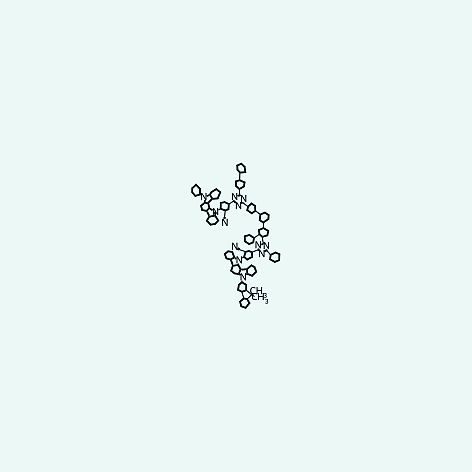 CC1(C)c2ccccc2-c2ccc(-n3c4ccccc4c4c3ccc3c5ccccc5n(-c5ccc(-c6nc(-c7ccccc7)nc(-c7ccc(-c8cccc(-c9ccc(-c%10nc(-c%11ccc(-c%12ccccc%12)cc%11)nc(-c%11ccc(-n%12c%13ccccc%13c%13ccc%14c(c%15ccccc%15n%14-c%14ccccc%14)c%13%12)c(C#N)c%11)n%10)cc9)c8)cc7-c7ccccc7)n6)cc5C#N)c34)cc21